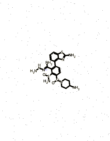 NN/N=C(\N)c1c(-c2cccc3sc(N)nc23)ccc([S+]([O-])N2CCC(N)CC2)c1[S+](N)[O-]